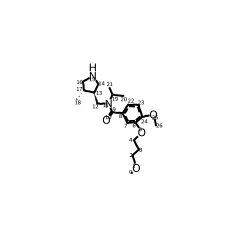 COCCCOc1cc(C(=O)N(C[C@@H]2CNC[C@H]2C)C(C)C)ccc1OC